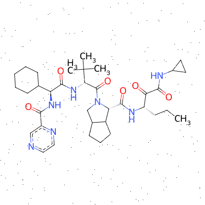 CCC[C@H](NC(=O)[C@@H]1C2CCCC2CN1C(=O)[C@H](NC(=O)[C@@H](NC(=O)c1cnccn1)C1CCCCC1)C(C)(C)C)C(=O)C(=O)NC1CC1